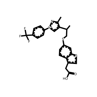 Cc1nn(-c2ccc(C(F)(F)F)cc2)cc1C(C)CSc1ccc2c(CC(=O)O)csc2c1